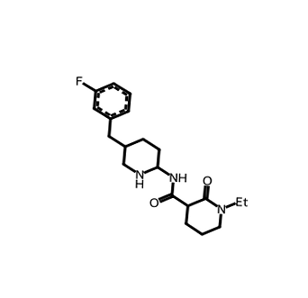 CCN1CCCC(C(=O)NC2CCC(Cc3cccc(F)c3)CN2)C1=O